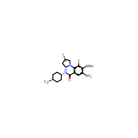 CNc1c([N+](=O)[O-])cc(C(=O)N[C@H]2CC[C@H](C(F)(F)F)CC2)c(N2CC[C@@H](F)C2)c1F